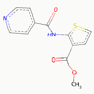 COC(=O)c1ccsc1NC(=O)c1ccncc1